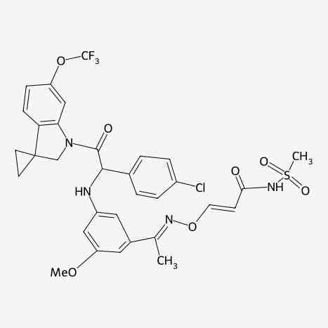 COc1cc(NC(C(=O)N2CC3(CC3)c3ccc(OC(F)(F)F)cc32)c2ccc(Cl)cc2)cc(C(C)=NOC=CC(=O)NS(C)(=O)=O)c1